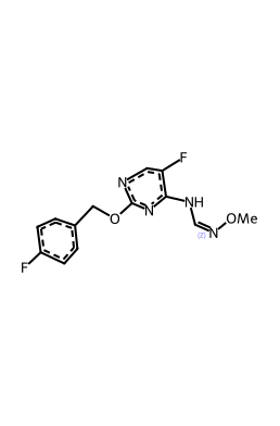 CO/N=C\Nc1nc(OCc2ccc(F)cc2)ncc1F